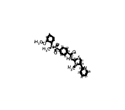 COc1ccccc1N(C)S(=O)(=O)c1ccc(C(=O)NC2SC=C(c3ccccn3)N2C)cc1